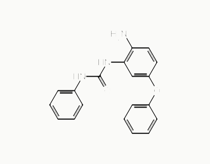 Nc1ccc(Oc2ccccc2)cc1NC(=O)Nc1ccccc1